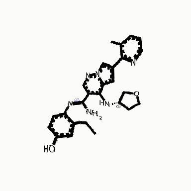 CCc1cc(O)ccc1/N=C(\N)c1cnn2cc(-c3ncccc3C)cc2c1N[C@H]1CCOC1